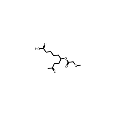 COCC(=O)OC(CCCCC(=O)O)CCC(C)=O